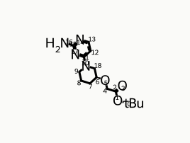 CC(C)(C)OC(=O)CO[C@H]1CCCN(c2ccnc(N)n2)C1